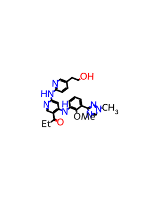 CCC(=O)c1cnc(Nc2ccc(CCO)cn2)cc1Nc1cccc(-c2ncn(C)n2)c1OC